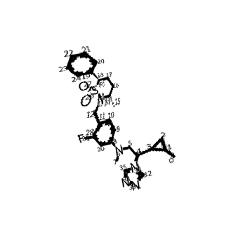 CC1CC1C(CN(C)c1ccc(CN2[C@@H](C)CC[C@H](c3ccccc3)S2(=O)=O)c(F)c1)n1cnnc1